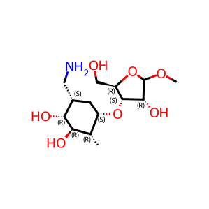 COC1O[C@H](CO)[C@@H](O[C@H]2C[C@@H](CN)[C@@H](O)[C@H](O)[C@H]2C)[C@H]1O